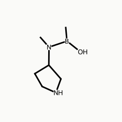 CB(O)N(C)C1CCNC1